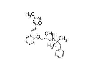 Cc1cc(C=Cc2ccccc2OCC(O)CNC(C)(C)Cc2ccccc2)on1